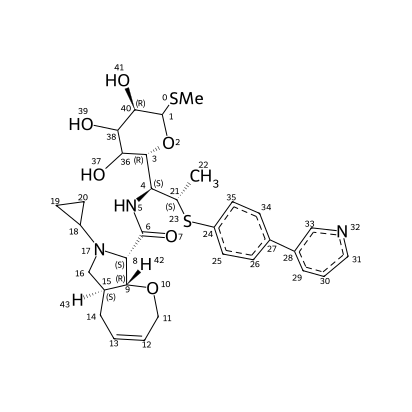 CSC1O[C@H]([C@H](NC(=O)[C@@H]2[C@@H]3OCC=CC[C@H]3CN2C2CC2)[C@H](C)Sc2ccc(-c3cccnc3)cc2)C(O)C(O)[C@H]1O